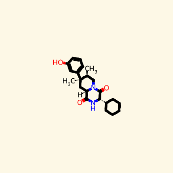 C[C@H]1CN2C(=O)[C@H](C3CCCCC3)NC(=O)[C@H]2C[C@@]1(C)c1cccc(O)c1